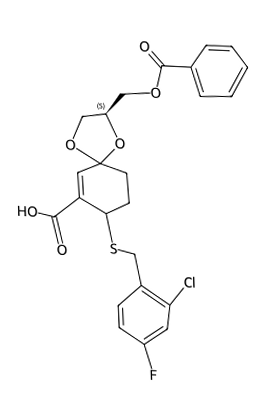 O=C(O)C1=CC2(CCC1SCc1ccc(F)cc1Cl)OC[C@@H](COC(=O)c1ccccc1)O2